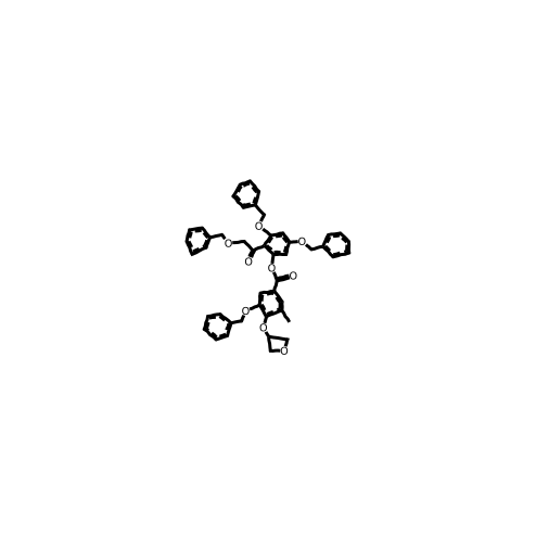 Cc1cc(C(=O)Oc2cc(OCc3ccccc3)cc(OCc3ccccc3)c2C(=O)COCc2ccccc2)cc(OCc2ccccc2)c1OC1COC1